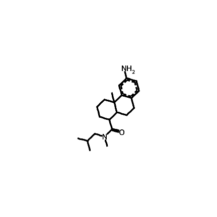 CC(C)CN(C)C(=O)C1CCCC2(C)c3cc(N)ccc3CCC12